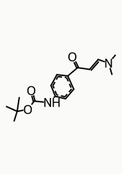 CN(C)C=CC(=O)c1ccc(NC(=O)OC(C)(C)C)cc1